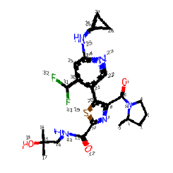 CC1CCCN1C(=O)c1nc(C(=O)NCC(C)(C)O)sc1-c1cnc(NC2CC2)cc1C(F)F